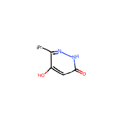 CC(C)c1n[nH]c(=O)cc1O